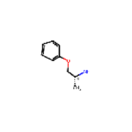 C[C@@H]([NH])COc1ccccc1